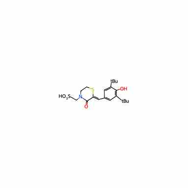 CC(C)(C)c1cc(C=C2SCCN(CS(=O)(=O)O)C2=O)cc(C(C)(C)C)c1O